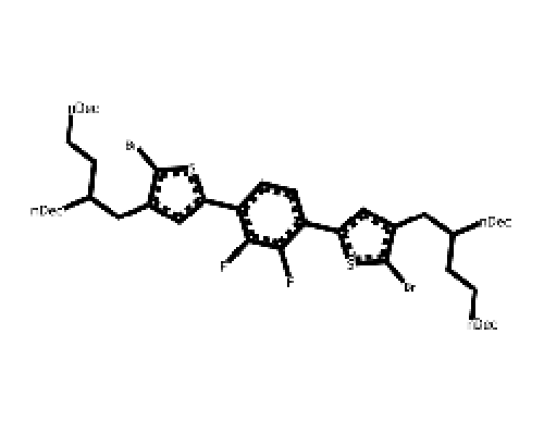 CCCCCCCCCCCCC(CCCCCCCCCC)Cc1cc(-c2ccc(-c3cc(CC(CCCCCCCCCC)CCCCCCCCCCCC)c(Br)s3)c(F)c2F)sc1Br